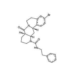 O=C1[C@H]2CCCN(C(=O)NCCc3ccccc3)[C@H]2C[C@H]2c3ccc(Br)cc3CCN12